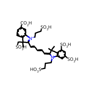 CC1(CS(=O)(=O)O)C(/C=C/C=C/C=C2/N(CCCS(=O)(=O)O)c3cc(S(=O)(=O)O)cc(S(=O)(=O)O)c3C2(C)C)=[N+](CCCS(=O)(=O)O)c2cc(C(=O)O)ccc21